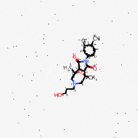 CC12CN(CCCO)CC(C)(O1)C1C(=O)N(c3ccc(C#N)c(C(F)(F)F)c3)C(=O)C12